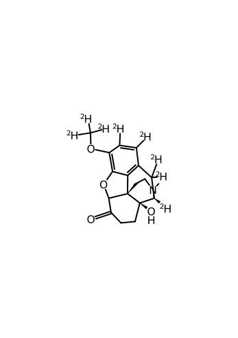 [2H]c1c([2H])c2c3c(c1OC([2H])([2H])[2H])OC1C(=O)CC[C@]4(O)[C@@]31CCN(C)[C@]4([2H])C2([2H])[2H]